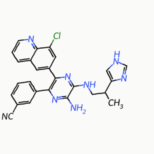 CC(CNc1nc(-c2cc(Cl)c3ncccc3c2)c(-c2cccc(C#N)c2)nc1N)c1c[nH]cn1